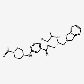 CC(=O)N1CCC(Nc2cc(C(=O)NC[C@@H](CN3Cc4ccccc4C3)NC(C)CF)ncn2)CC1